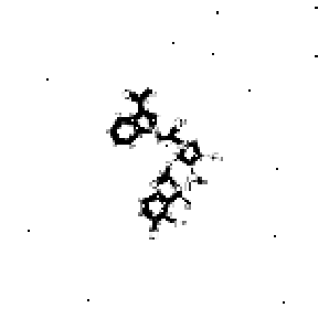 CO[C@@H]1[C@@H](F)CN(C(=O)Cn2cc(C(C)=O)c3ccccc32)[C@H]1OC(=O)N[C@@H](C)c1cccc(Cl)c1F